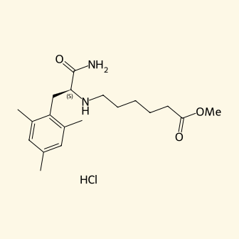 COC(=O)CCCCCN[C@@H](Cc1c(C)cc(C)cc1C)C(N)=O.Cl